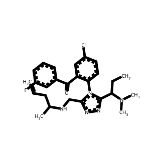 C=CCC(C)NCc1nnc(C(CC)N(C)C)n1-c1ccc(Cl)cc1C(=O)c1cccc(F)c1